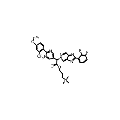 CCCOc1ccc(-c2ncc(C(C(=O)OCCC[N+](C)(C)C)n3cc4nc(-c5cccc(F)c5F)nc-4cn3)cn2)c(C(F)(F)F)c1